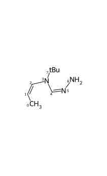 C/C=C\N(/C=N\N)C(C)(C)C